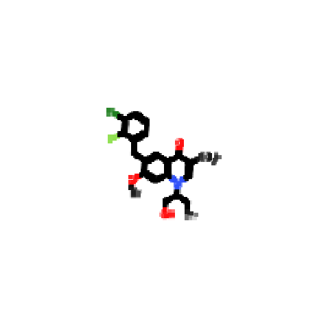 CC(C)CC(CO)n1cc(C(=O)O)c(=O)c2cc(Cc3cccc(Cl)c3F)c(OC(C)C)cc21